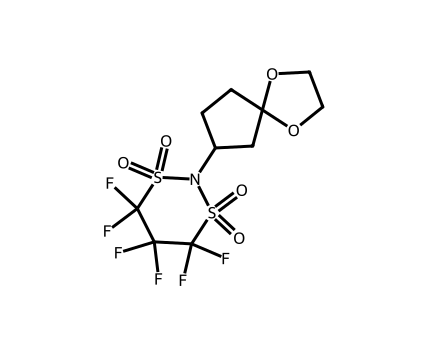 O=S1(=O)N(C2CCC3(C2)OCCO3)S(=O)(=O)C(F)(F)C(F)(F)C1(F)F